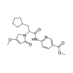 COC(=O)c1ccc(NC(=O)C(CC2CCCC2)N2CC(OC)=CC2=O)nc1